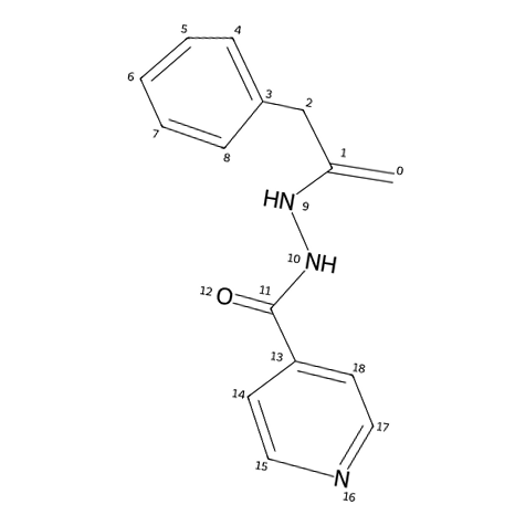 C=C(Cc1ccccc1)NNC(=O)c1ccncc1